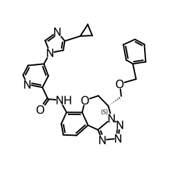 O=C(Nc1cccc2c1OC[C@H](COCc1ccccc1)n1nnnc1-2)c1cc(-n2cnc(C3CC3)c2)ccn1